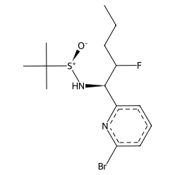 CCCC(F)[C@H](N[S@+]([O-])C(C)(C)C)c1cccc(Br)n1